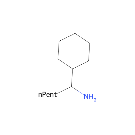 CCCCCC(N)C1CCCCC1